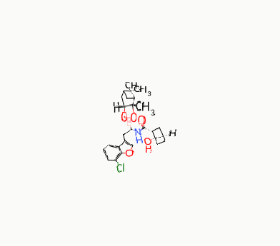 CC1(C)C2CC1[C@]1(C)OB([C@H](Cc3coc4c(Cl)cccc34)NC(=O)[C@@H]3C[C@H]4CCC43O)O[C@@H]1C2